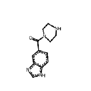 O=C(c1ccc2[nH]cnc2c1)N1CCNCC1